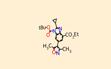 CCOC(=O)c1cc(-c2c(C)noc2C)cc2c1nc(C1CC1)n2C(=O)OC(C)(C)C